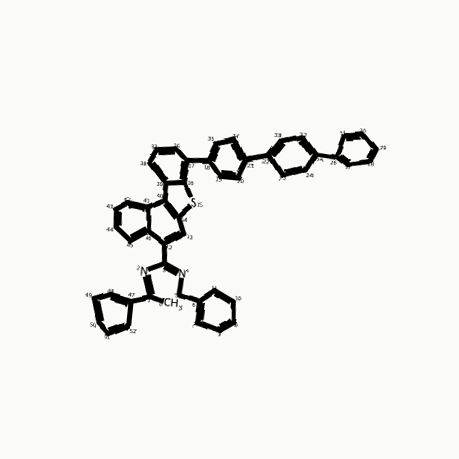 C/C(=N\C(=N/Cc1ccccc1)c1cc2sc3c(-c4ccc(-c5ccc(-c6ccccc6)cc5)cc4)cccc3c2c2ccccc12)c1ccccc1